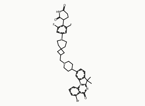 CC1(C)c2ccc(C3CCN(CC4CC5(CCN(c6cc(F)c(C7CCC(=O)NC7=O)c(F)c6)CC5)C4)CC3)cc2-n2c1nc(=O)c1c(Br)cccc12